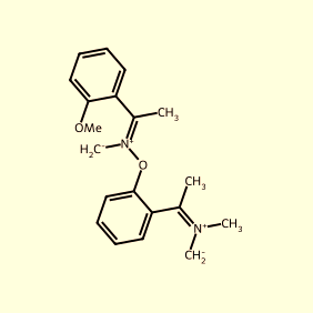 [CH2-]/[N+](C)=C(/C)c1ccccc1O/[N+]([CH2-])=C(\C)c1ccccc1OC